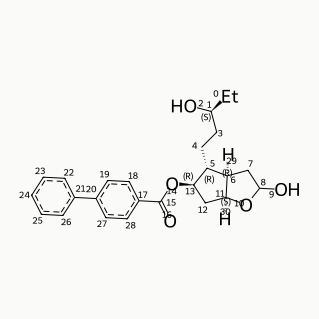 CC[C@H](O)CC[C@@H]1[C@H]2CC(O)O[C@H]2C[C@H]1OC(=O)c1ccc(-c2ccccc2)cc1